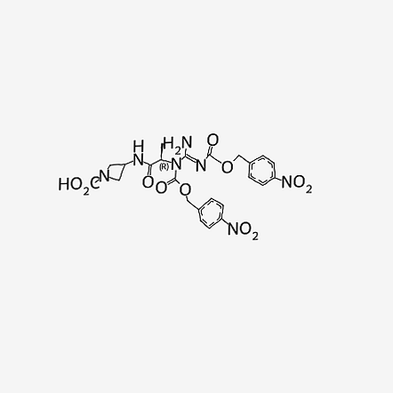 C[C@H](C(=O)NC1CN(C(=O)O)C1)N(C(=O)OCc1ccc([N+](=O)[O-])cc1)C(N)=NC(=O)OCc1ccc([N+](=O)[O-])cc1